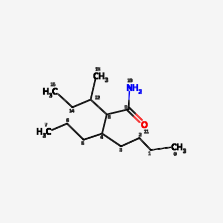 CCCCC(CCC)C(C(N)=O)C(C)CC